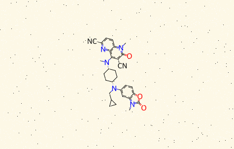 Cn1c(=O)oc2ccc(N(CC3CC3)[C@H]3CC[C@@H](N(C)c4c(C#N)c(=O)n(C)c5ccc(C#N)nc45)CC3)cc21